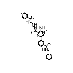 Nc1ncc(-c2cccc(C(=O)NCc3ccccc3)c2)nc1C(=O)NCCNC(=O)c1ccncc1